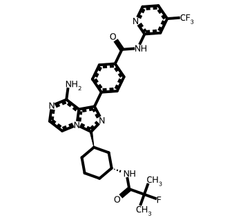 CC(C)(F)C(=O)N[C@@H]1CCC[C@@H](c2nc(-c3ccc(C(=O)Nc4cc(C(F)(F)F)ccn4)cc3)c3c(N)nccn23)C1